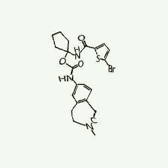 CN1CCc2ccc(NC(=O)OC3(NC(=O)c4ccc(Br)s4)CCCC3)cc2CC1